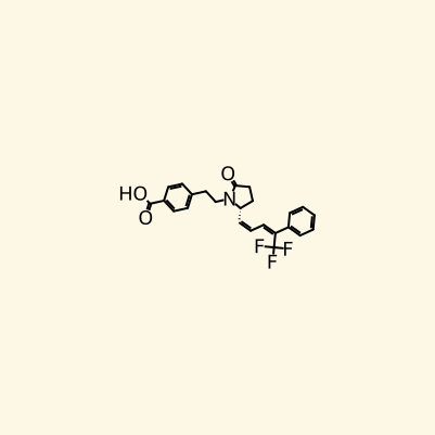 O=C(O)c1ccc(CCN2C(=O)CC[C@@H]2/C=C\C=C(\c2ccccc2)C(F)(F)F)cc1